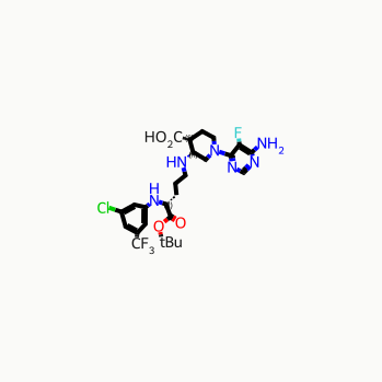 CC(C)(C)OC(=O)[C@@H](CCCN[C@H]1CN(c2ncnc(N)c2F)CC[C@@H]1C(=O)O)Nc1cc(Cl)cc(C(F)(F)F)c1